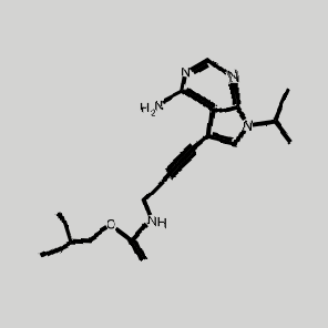 C=C(NCC#Cc1cn(C(C)C)c2ncnc(N)c12)OCC(C)C